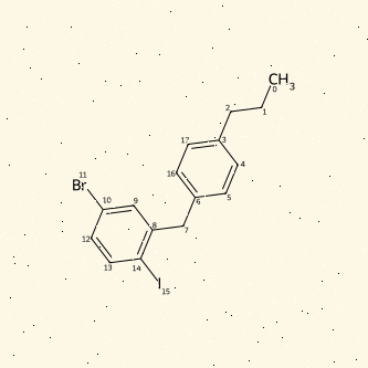 CCCc1ccc(Cc2cc(Br)ccc2I)cc1